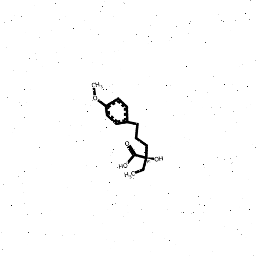 CC[C@@](O)(CCCc1ccc(OC)cc1)C(=O)O